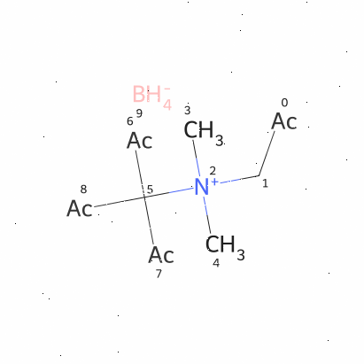 CC(=O)C[N+](C)(C)C(C(C)=O)(C(C)=O)C(C)=O.[BH4-]